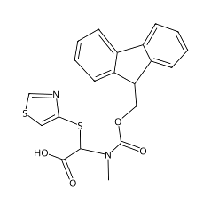 CN(C(=O)OCC1c2ccccc2-c2ccccc21)C(Sc1cscn1)C(=O)O